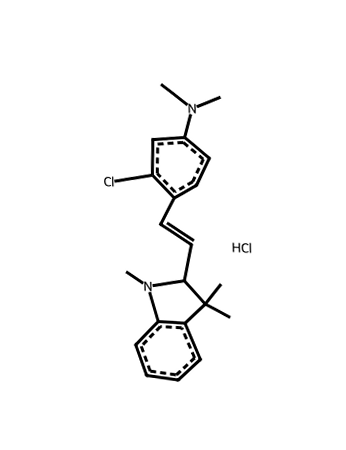 CN(C)c1ccc(C=CC2N(C)c3ccccc3C2(C)C)c(Cl)c1.Cl